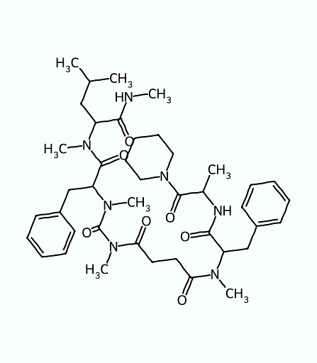 CNC(=O)C(CC(C)C)N(C)C(=O)C(Cc1ccccc1)N(C)C(=O)N(C)C(=O)CCC(=O)N(C)C(Cc1ccccc1)C(=O)NC(C)C(=O)N1CCCCC1